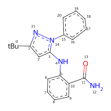 CC(C)(C)c1cc(Nc2ccccc2C(N)=O)n(-c2ccccc2)n1